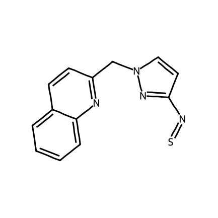 S=Nc1ccn(Cc2ccc3ccccc3n2)n1